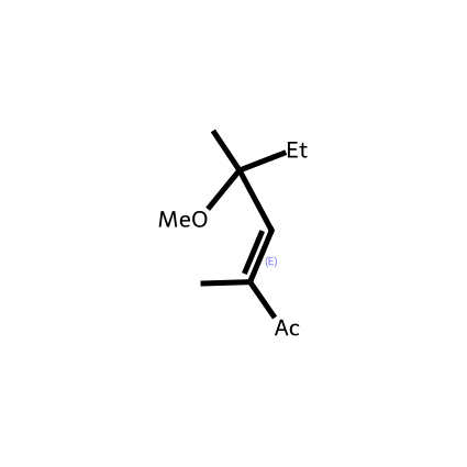 CCC(C)(/C=C(\C)C(C)=O)OC